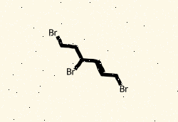 BrC/C=C/C(Br)CCBr